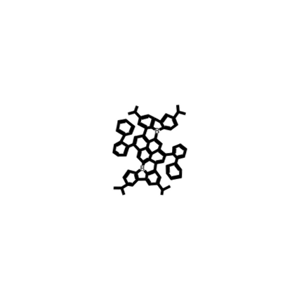 CC(C)c1ccc2c(c1)-c1cc(C(C)C)cc3c1B2c1cc2c(-c4ccccc4-c4ccccc4)cc4c5c(cc6c(-c7ccccc7-c7ccccc7)cc-3c1c6c25)B1c2ccc(C(C)C)cc2-c2cc(C(C)C)cc-4c21